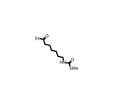 CCC(=O)CCCCCCNC(=O)SC